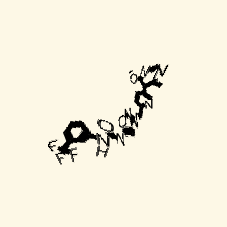 COc1ncnc(C)c1-c1ccc(C[n+]2cc([N-]C(=O)Nc3cccc(C(F)(F)F)c3)on2)nc1